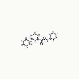 O=C(OCc1ccccc1)N1C=CC[C@@H](c2ccccc2)C1